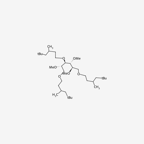 CO[C@@H]([C@H](OCCC(C)CC(C)(C)C)[C@H](COCCC(C)CC(C)(C)C)OC)[C@@H](COCCC(C)CC(C)(C)C)OC